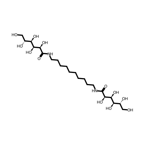 O=C(NCCCCCCCCCCNC(=O)[C@H](O)[C@@H](O)[C@H](O)[C@H](O)CO)[C@H](O)[C@@H](O)[C@H](O)[C@H](O)CO